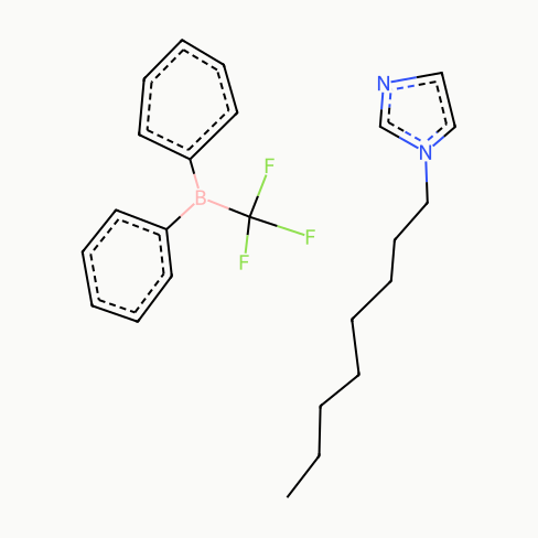 CCCCCCCCn1ccnc1.FC(F)(F)B(c1ccccc1)c1ccccc1